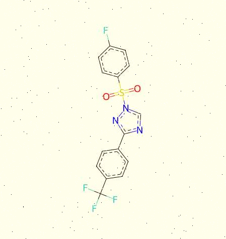 O=S(=O)(c1ccc(F)cc1)n1cnc(-c2ccc(C(F)(F)F)cc2)n1